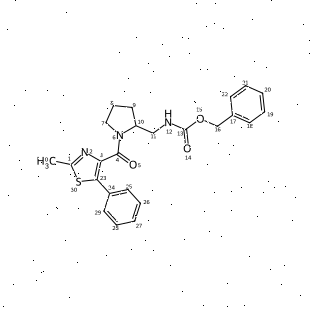 Cc1nc(C(=O)N2CCCC2CNC(=O)OCc2ccccc2)c(-c2ccccc2)s1